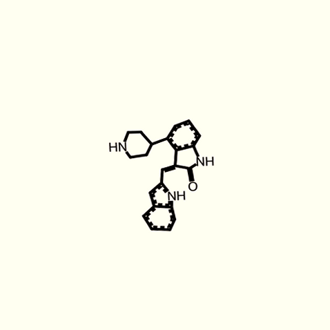 O=C1Nc2cccc(C3CCNCC3)c2/C1=C/c1cc2ccccc2[nH]1